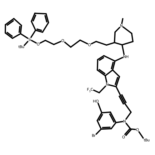 CN1CCC(Nc2cccc3c2cc(C#CCN(C(=O)OC(C)(C)C)c2cc(O)cc(Br)c2)n3CC(F)(F)F)C(CCOCCOCCO[Si](c2ccccc2)(c2ccccc2)C(C)(C)C)C1